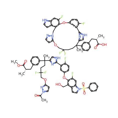 COC(=O)[C@@H](C)Cc1cccc(C(C)(CCC(F)(F)COc2ccn(C(C)=O)n2)c2c[nH]c(-c3cc(Oc4c(F)cc5c(ccn5S(=O)(=O)c5ccccc5)c4CO)ccc3F)n2)c1.C[C@@H](Cc1cccc(C2(C)CCC(F)(F)COc3ccnn3Cc3c(c(F)cc4[nH]ccc34)Oc3ccc(F)c(c3)-c3nc2c[nH]3)c1)C(=O)O